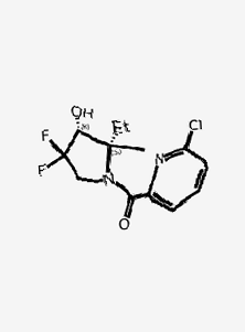 CC[C@@]1(C)[C@@H](O)C(F)(F)CN1C(=O)c1cccc(Cl)n1